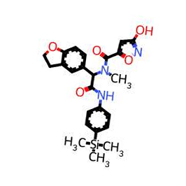 CN(C(=O)c1cc(O)no1)C(C(=O)Nc1ccc([Si](C)(C)C)cc1)c1ccc2c(c1)CCO2